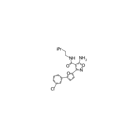 CC(C)CCNC(=O)c1c(-c2ccc(-c3cccc(Cl)c3)o2)noc1N